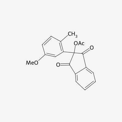 COc1ccc(C)c(C2(OC(C)=O)C(=O)c3ccccc3C2=O)c1